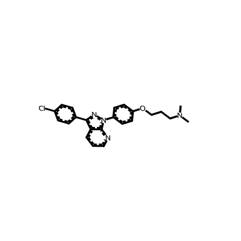 CN(C)CCCOc1ccc(-n2nc(-c3ccc(Cl)cc3)c3cccnc32)cc1